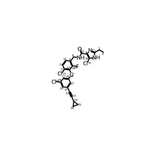 CCc1nc(C(=O)NCc2ccc(Cl)c(Oc3cc(Cl)cc(C#CC4CC4)c3)c2F)c(Cl)[nH]1